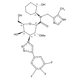 CO[C@@H]1[C@@H](n2cc(-c3cc(F)c(F)c(F)c3)nn2)[C@@H](O)[C@@H](CO)O[C@H]1C(=O)N(Cc1nc[nH]c1C)[C@H]1CCCC[C@@H]1O